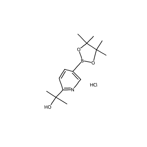 CC(C)(O)c1ccc(B2OC(C)(C)C(C)(C)O2)cn1.Cl